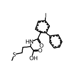 CSCCC(NC(=O)c1ccc(I)cc1-c1ccccc1)C(=O)O